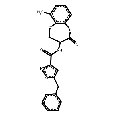 Cc1cccc2c1OCC(NC(=O)c1cc(Cc3ccccc3)on1)C(=O)N2